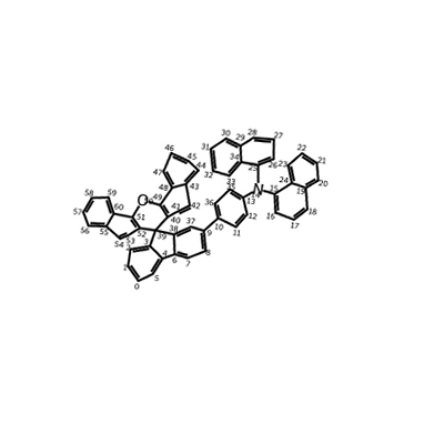 c1ccc2c(c1)-c1ccc(-c3ccc(N(c4cccc5ccccc45)c4cccc5ccccc45)cc3)cc1C21c2ccc3ccccc3c2Oc2c1ccc1ccccc21